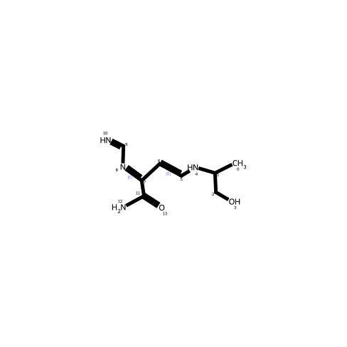 CC(CO)N/C=C/C(=N\C=N)C(N)=O